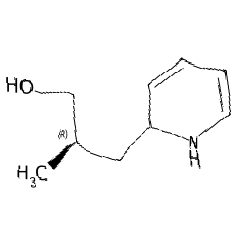 C[C@@H](CO)CC1C=CC=CN1